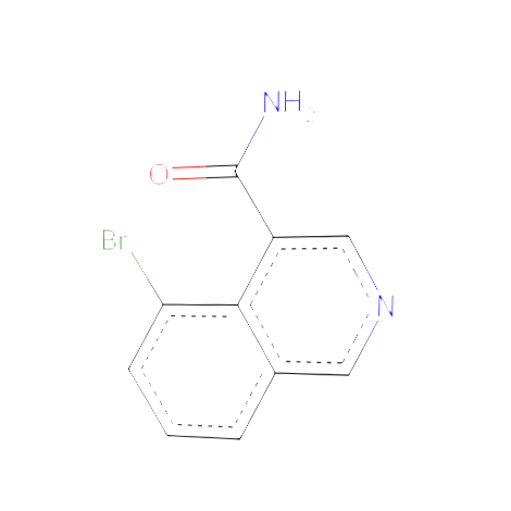 NC(=O)c1cncc2cccc(Br)c12